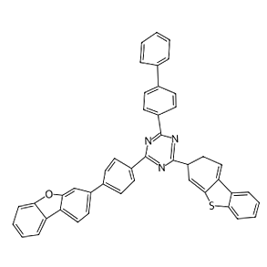 C1=c2sc3ccccc3c2=CCC1c1nc(-c2ccc(-c3ccccc3)cc2)nc(-c2ccc(-c3ccc4c(c3)oc3ccccc34)cc2)n1